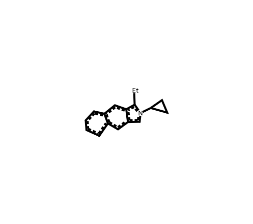 CCc1c2cc3ccccc3cc2cn1C1CC1